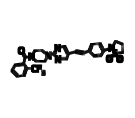 O=C(c1ccccc1C(F)(F)F)N1CCN(c2ncc(C#Cc3ccc(N4CCCS4(=O)=O)cc3)cn2)CC1